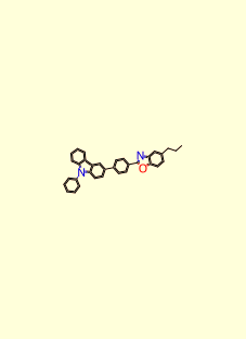 CCCc1ccc2oc(-c3ccc(-c4ccc5c(c4)c4ccccc4n5-c4ccccc4)cc3)nc2c1